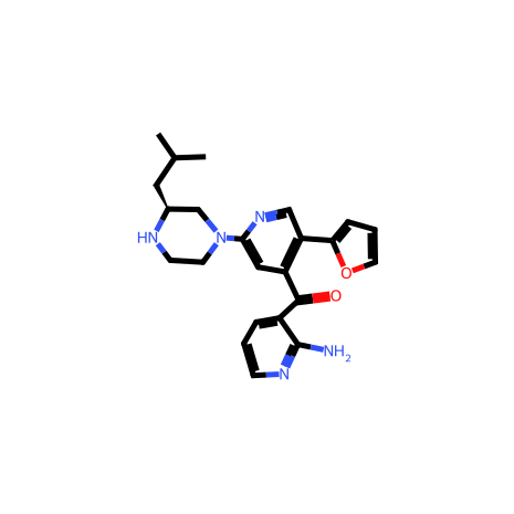 CC(C)C[C@H]1CN(c2cc(C(=O)c3cccnc3N)c(-c3ccco3)cn2)CCN1